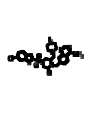 CN1CCN(CC2CN(S(=O)(=O)c3cc4ccc(Cl)cc4s3)CC(=O)N2Cc2ccc3c(N)ncnc3c2)CC1